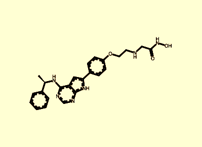 C[C@@H](Nc1ncnc2[nH]c(-c3ccc(OCCNCC(=O)NO)cc3)cc12)c1ccccc1